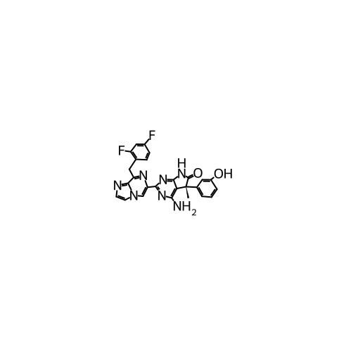 C[C@]1(c2cccc(O)c2)C(=O)Nc2nc(-c3cn4ccnc4c(Cc4ccc(F)cc4F)n3)nc(N)c21